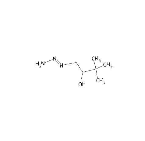 CC(C)(C)C(O)CN=NN